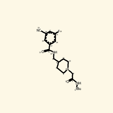 CC(C)(C)NC(=O)CN1CCC(CNC(=O)c2cc(F)cc(C#N)c2)CC1